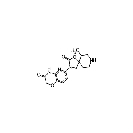 CC1CNCCC12CN(c1ccc3c(n1)NC(=O)CO3)C(=O)O2